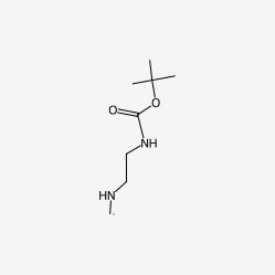 [CH2]NCCNC(=O)OC(C)(C)C